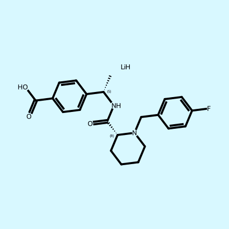 C[C@H](NC(=O)[C@H]1CCCCN1Cc1ccc(F)cc1)c1ccc(C(=O)O)cc1.[LiH]